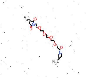 CC1CC(=O)N(CCOCCOCCOCCOCCC(=O)N2CC[C@@H](C)C2)C1=O